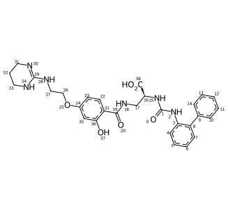 O=C(Nc1ccccc1-c1ccccc1)N[C@@H](CNC(=O)c1ccc(OCCNC2=NCCCN2)cc1O)C(=O)O